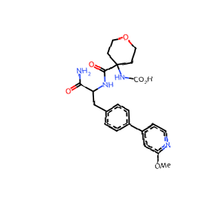 COc1cc(-c2ccc(CC(NC(=O)C3(NC(=O)O)CCOCC3)C(N)=O)cc2)ccn1